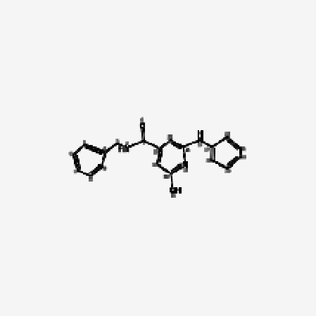 O=C(NCc1ccccc1)c1cc(O)nc(Nc2ccccc2)c1